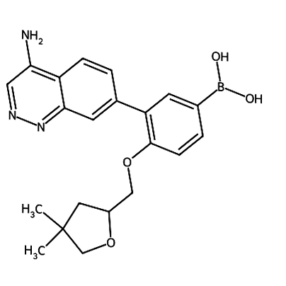 CC1(C)COC(COc2ccc(B(O)O)cc2-c2ccc3c(N)cnnc3c2)C1